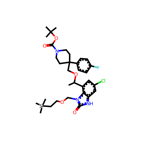 CC(OCC1(c2ccc(F)cc2)CCN(C(=O)OC(C)(C)C)CC1)c1cc(Cl)cc2[nH]c(=O)n(COCC[Si](C)(C)C)c12